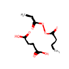 C=CCC(=O)OOC(=O)C=C.O=C(O)CCC(=O)O